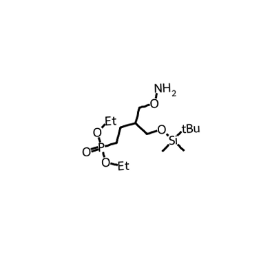 CCOP(=O)(CCC(CON)CO[Si](C)(C)C(C)(C)C)OCC